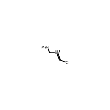 CNC/C=C/Cl.Cl